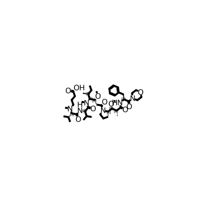 CC[C@H](C)[C@@H]([C@@H](CC(=O)N1CCC[C@H]1[C@H](OC)[C@@H](C)C(=O)N[C@@H](Cc1ccccc1)C(=O)N1CCOCC1)OC)N(C)C(=O)[C@@H](NC(=O)[C@H](C(C)C)N(C)CCCC(=O)O)C(C)C